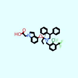 CC[C@@](C)(Oc1cccc2c1ccn2CC(=O)O)N(Cc1cccc(C(F)(F)F)c1Cl)CC(c1ccccc1)c1ccccc1